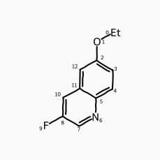 CCOc1ccc2ncc(F)cc2c1